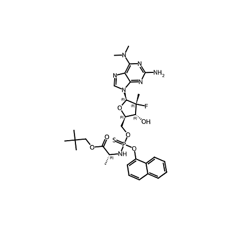 C[C@@H](NP(=S)(OC[C@H]1O[C@@H](n2cnc3c(N(C)C)nc(N)nc32)[C@](C)(F)[C@@H]1O)Oc1cccc2ccccc12)C(=O)OCC(C)(C)C